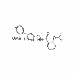 COc1cnccc1-c1cc(CNC(=O)c2ccccc2OC(F)F)n[nH]1